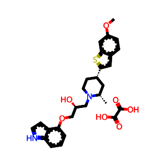 COc1ccc2cc([C@H]3CCN(C[C@H](O)COc4cccc5[nH]ccc45)[C@@H](C)C3)sc2c1.O=C(O)C(=O)O